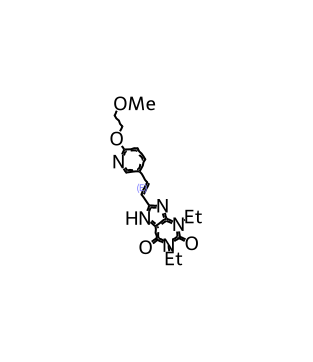 CCn1c(=O)c2[nH]c(/C=C/c3ccc(OCCOC)nc3)nc2n(CC)c1=O